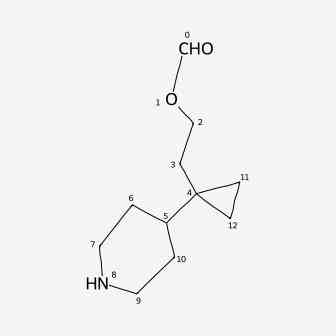 O=COCCC1(C2CCNCC2)CC1